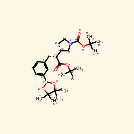 CC(C)(C)OC(=O)[C@H](Cc1cccc(B2OC(C)(C)C(C)(C)O2)c1)[C@@H]1CCN(C(=O)OC(C)(C)C)C1